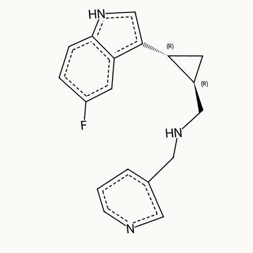 Fc1ccc2[nH]cc([C@@H]3C[C@H]3CNCc3cccnc3)c2c1